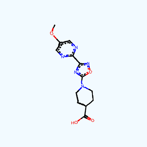 COc1cnc(-c2noc(N3CCC(C(=O)O)CC3)n2)nc1